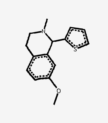 COc1ccc2c(c1)C(c1cccs1)N(C)CC2